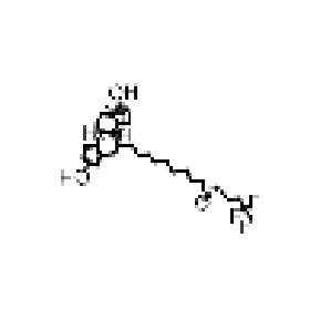 C[C@]12CC[C@@H]3c4ccc(O)cc4CC(CCCCCCCCC[S+]([O-])CCCC(F)(F)CF)[C@H]3[C@@H]1CC[C@@H]2O